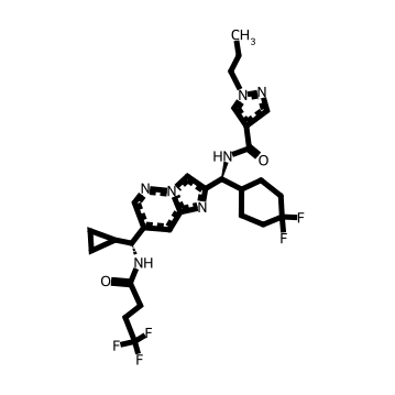 CCCn1cc(C(=O)N[C@H](c2cn3ncc([C@H](NC(=O)CCC(F)(F)F)C4CC4)cc3n2)C2CCC(F)(F)CC2)cn1